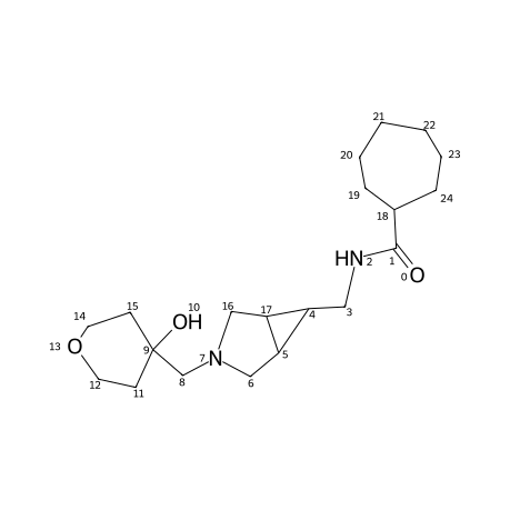 O=C(NCC1C2CN(CC3(O)CCOCC3)CC12)C1CCCCCC1